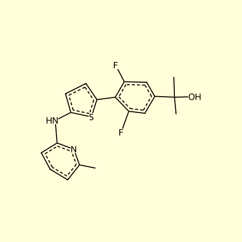 Cc1cccc(Nc2ccc(-c3c(F)cc(C(C)(C)O)cc3F)s2)n1